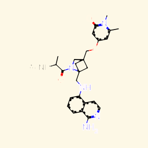 CC(=O)NC(C)C(=O)N1CC2(COc3cc(C)n(C)c(=O)c3)CC1(CNc1cccc3c(N)nccc13)C2